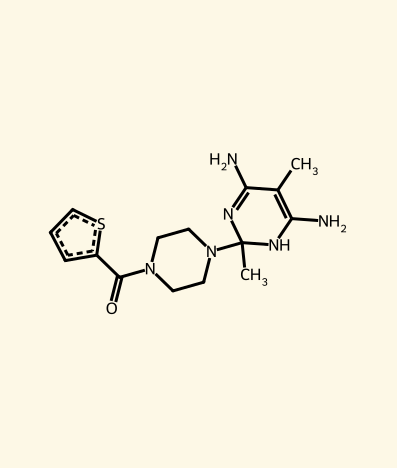 CC1=C(N)NC(C)(N2CCN(C(=O)c3cccs3)CC2)N=C1N